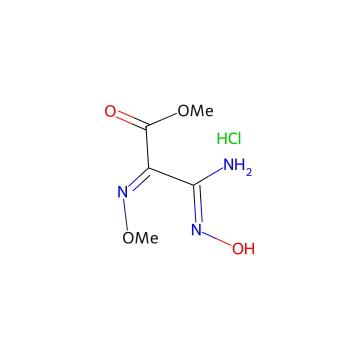 CON=C(C(=O)OC)C(N)=NO.Cl